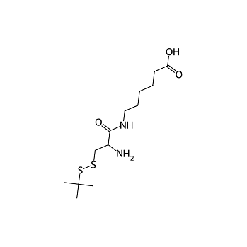 CC(C)(C)SSCC(N)C(=O)NCCCCCC(=O)O